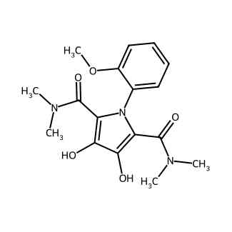 COc1ccccc1-n1c(C(=O)N(C)C)c(O)c(O)c1C(=O)N(C)C